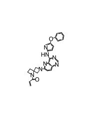 C=CC(=O)N1CCC12CN(c1ccc3ncnc(Nc4ccc(Oc5ccccc5)cn4)c3n1)C2